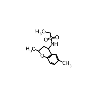 CCS(=O)(=O)NC1CC(C)Oc2ccc(C)cc21